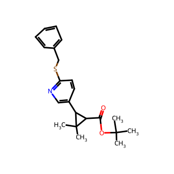 CC(C)(C)OC(=O)C1C(c2ccc(SCc3ccccc3)nc2)C1(C)C